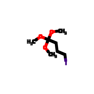 COC(CCCI)(OC)OC